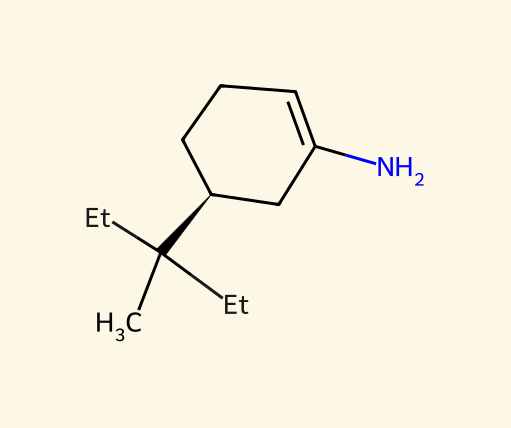 CCC(C)(CC)[C@H]1CCC=C(N)C1